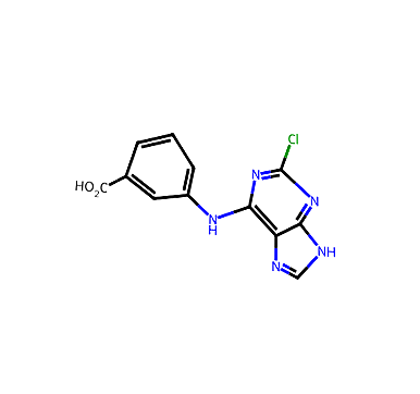 O=C(O)c1cccc(Nc2nc(Cl)nc3[nH]cnc23)c1